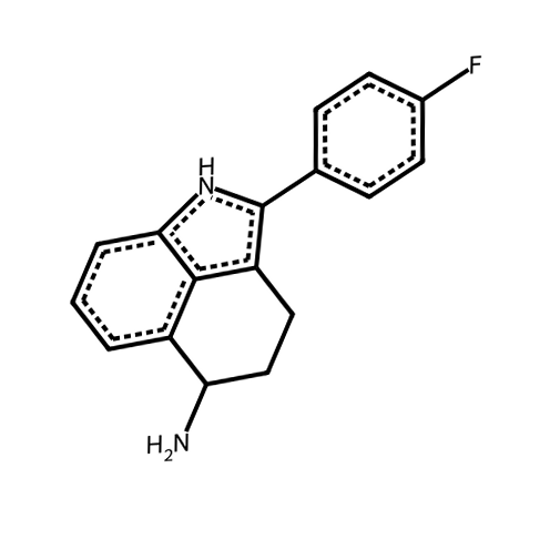 NC1CCc2c(-c3ccc(F)cc3)[nH]c3cccc1c23